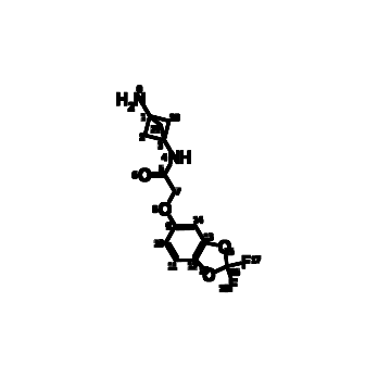 NC12CC(NC(=O)COc3ccc4c(c3)OC(F)(F)O4)(C1)C2